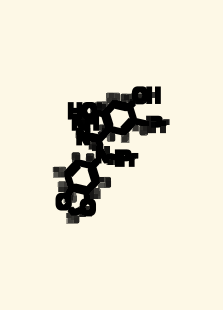 CC(C)c1cc(C(=NN)N(c2ccc3c(c2)OCO3)C(C)C)c(O)cc1O